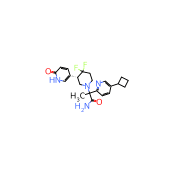 CC(C(N)=O)(c1ccc(C2CCC2)cn1)N1CCC(F)(F)[C@@H](c2ccc(=O)[nH]c2)C1